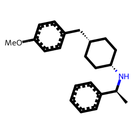 COc1ccc(C[C@H]2CC[C@@H](N[C@@H](C)c3ccccc3)CC2)cc1